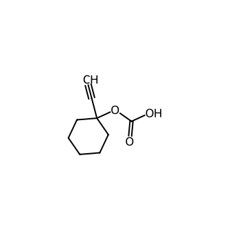 C#CC1(OC(=O)O)CCCCC1